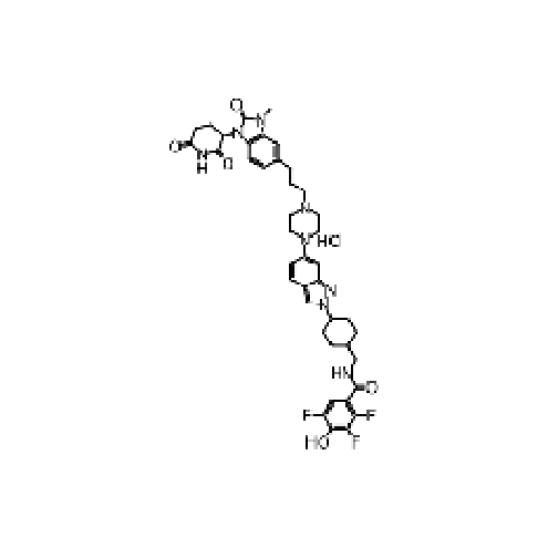 Cl.Cn1c(=O)n([C@@H]2CCC(=O)NC2=O)c2ccc(CCCN3CCN(c4ccc5cn(C6CCC(CNC(=O)c7cc(F)c(O)c(F)c7F)CC6)nc5c4)CC3)cc21